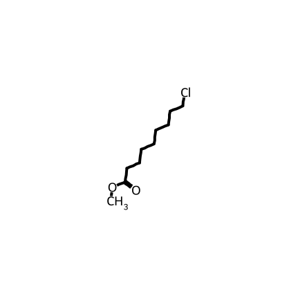 COC(=O)CCCCCCCCCl